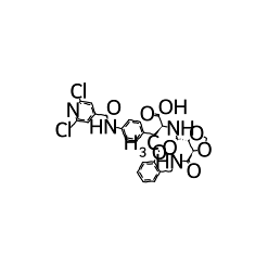 COc1ccccc1CNC(=O)[C@@H]1OCO[C@H]1C(=O)N[C@@H](Cc1ccc(NC(=O)c2cc(Cl)nc(Cl)c2)cc1)C(=O)O